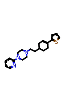 C1=C(c2cccs2)CCC(CCN2CCN(c3ccccn3)CC2)C1